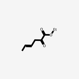 CC=CCC(=O)C(=O)OCC